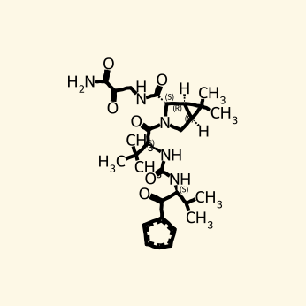 CC(C)[C@H](NC(=O)N[C@H](C(=O)N1C[C@H]2[C@@H]([C@H]1C(=O)NCC(=O)C(N)=O)C2(C)C)C(C)(C)C)C(=O)c1ccccc1